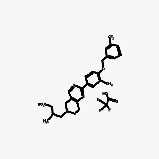 Cc1cc(-c2ncc3c(n2)CCN(CC(C)CC(=O)O)C3)ccc1OCc1cccc(C(F)(F)F)c1.O=C(O)C(F)(F)F